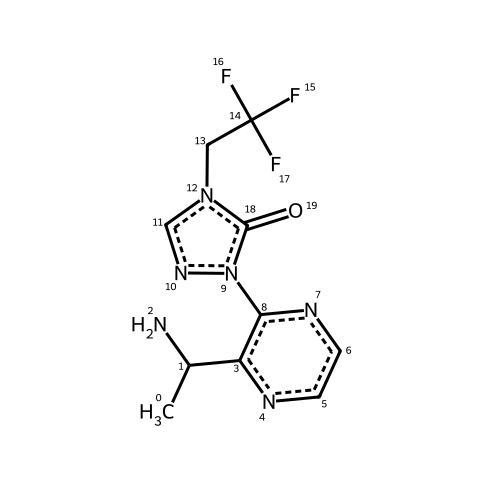 CC(N)c1nccnc1-n1ncn(CC(F)(F)F)c1=O